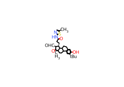 Cc1cnc(NC(=O)CC[C@@H]2C(C=O)C(=O)[C@@]3(C)CCC4c5cc(C(C)(C)C)c(O)cc5CCC4C23)s1